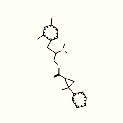 CN(C)C(CNC(=O)C1CC1(C)c1ccccc1)Cc1ccc(O)cc1Cl